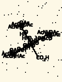 CC(=O)N[C@H]1[C@H](OCCCCC(=O)NCCCNC(=O)CCOCC(COCCC(=O)NCCCNC(=O)CCCCO[C@@H]2O[C@H](COC(C)=O)[C@H](OC(C)=O)[C@H](OC(C)=O)[C@H]2NC(C)=O)(COCCC(=O)NCCCNC(=O)CCCCO[C@@H]2O[C@H](COC(C)=O)[C@H](OC(C)=O)[C@H](OC(C)=O)[C@H]2NC(C)=O)NC(=O)CCCCCCCCCCC(=O)O)O[C@H](COC(C)=O)[C@H](OC(C)=O)[C@@H]1OC(C)=O